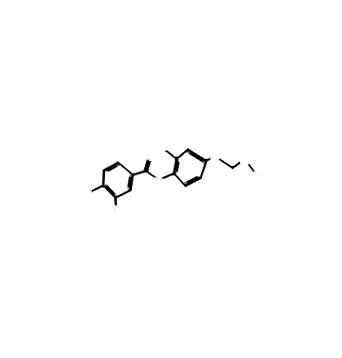 CCOCOc1ccc(NC(=O)c2ccc(Cl)c([N+](=O)[O-])c2)c(Cl)c1